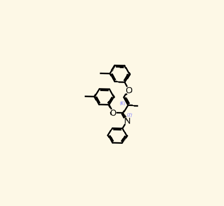 CC(=C\Oc1cccc(C)c1)/C(=N/c1ccccc1)Oc1cccc(C)c1